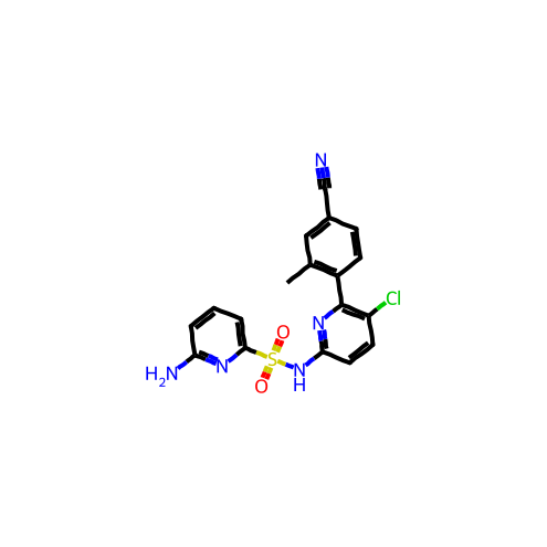 Cc1cc(C#N)ccc1-c1nc(NS(=O)(=O)c2cccc(N)n2)ccc1Cl